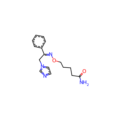 NC(=O)CCCCON=C(Cn1ccnc1)c1ccccc1